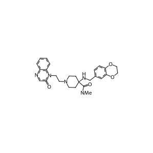 CNC(=O)C1(NCc2ccc3c(c2)OCCO3)CCN(CCn2c(=O)cnc3ccccc32)CC1